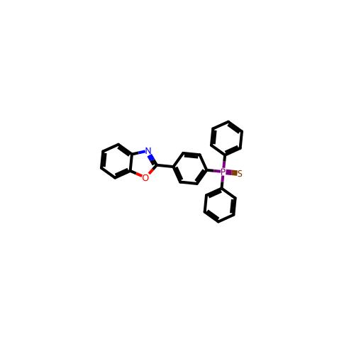 S=P(c1ccccc1)(c1ccccc1)c1ccc(-c2nc3ccccc3o2)cc1